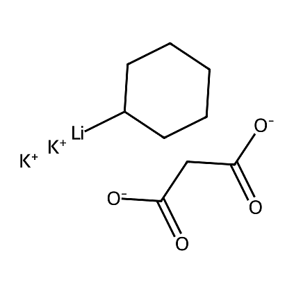 O=C([O-])CC(=O)[O-].[K+].[K+].[Li][CH]1CCCCC1